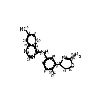 N#Cc1cnc2c(Nc3ccc(F)c(C4CCOC(N)=N4)c3)ncnc2c1